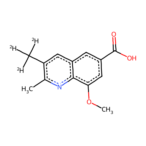 [2H]C([2H])([2H])c1cc2cc(C(=O)O)cc(OC)c2nc1C